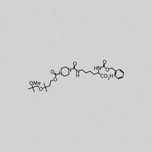 COC(C)(C)COC(C)(C)CCOC(=O)N1CCN(C(=O)NCCCCC(NC(=O)OCc2ccccc2)C(=O)O)CC1